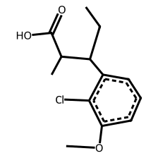 CCC(c1cccc(OC)c1Cl)C(C)C(=O)O